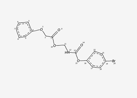 O=C(COc1ccccc1)OCNC(=O)Oc1ccc(Br)cc1